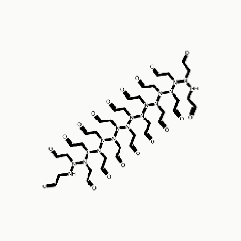 O=CCNN(CC=O)N(CC=O)N(CC=O)N(CC=O)N(CC=O)N(CC=O)N(CC=O)N(CC=O)N(CC=O)N(CC=O)N(CC=O)N(CC=O)N(CC=O)N(CC=O)N(CC=O)N(CC=O)NCC=O